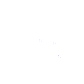 [c]1nc(NCc2ccccc2)c2ccccc2n1